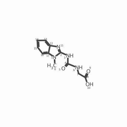 Cn1c(NC(=O)NCC(=O)O)nc2ccccc21